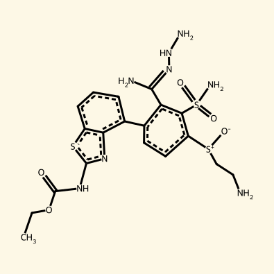 CCOC(=O)Nc1nc2c(-c3ccc([S+]([O-])CCN)c(S(N)(=O)=O)c3/C(N)=N/NN)cccc2s1